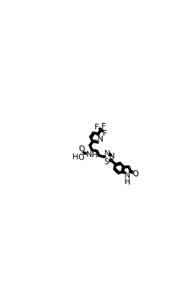 O=C(O)NC(CCc1nnc(-c2ccc3c(c2)CC(=O)N3)s1)Cc1ccc(C(F)(F)F)nc1